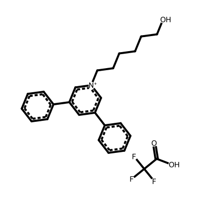 O=C(O)C(F)(F)F.OCCCCCC[n+]1cc(-c2ccccc2)cc(-c2ccccc2)c1